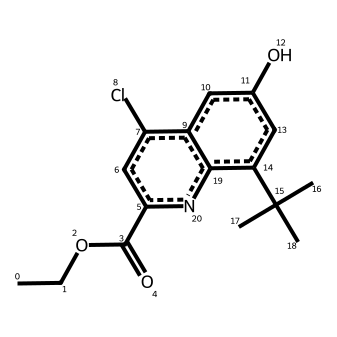 CCOC(=O)c1cc(Cl)c2cc(O)cc(C(C)(C)C)c2n1